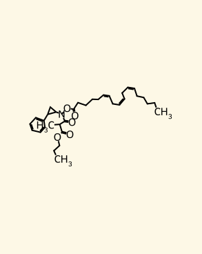 CCCCC/C=C\C/C=C\C/C=C\CCCCC(=O)ON(C(=O)C(C)C(=O)OCCC)C1CC1c1ccccc1